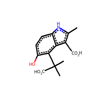 Cc1[nH]c2ccc(O)c(C(C)(C)C(=O)O)c2c1C(=O)O